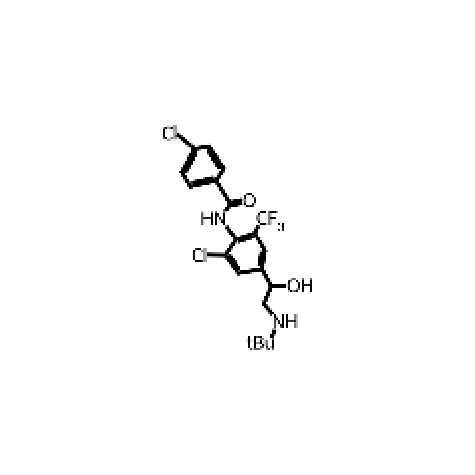 CC(C)(C)NCC(O)c1cc(Cl)c(NC(=O)c2ccc(Cl)cc2)c(C(F)(F)F)c1